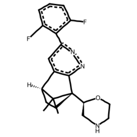 CC1(C)[C@H]2CC[C@]1([C@@H]1CNCCO1)c1nnc(-c3c(F)cccc3F)cc12